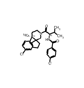 CC(C)[C@@H](NC(=O)c1ccc(Cl)cc1)C(=O)N1CC[C@](O)(c2ccc(Cl)cc2)C2(CCCC2)C1